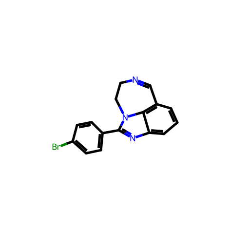 Brc1ccc(-c2nc3cccc4c3n2CCN=C4)cc1